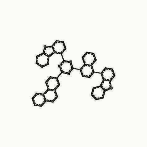 c1ccc2c(c1)ccc1cc(-c3nc(-c4ccc(-c5cccc6oc7ccccc7c56)c5ccccc45)nc(-c4cccc5oc6ccccc6c45)n3)ccc12